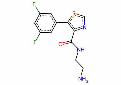 NCCNC(=O)c1ncsc1-c1cc(F)cc(F)c1